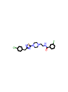 O=C(NCCN1CCN(c2nc(Cc3ccc(Cl)cc3)ns2)CC1)c1cccc(F)c1